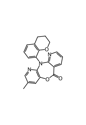 Cc1cnc2c(c1)OC(=O)c1cccnc1N2c1cccc2c1OCCC2